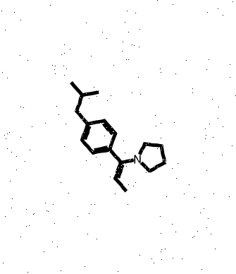 CC=C(c1ccc(CC(C)C)cc1)N1CCCC1